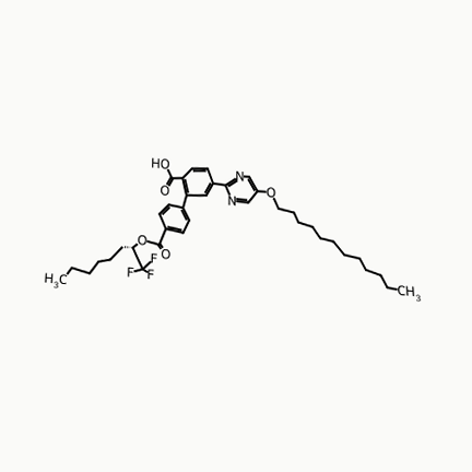 CCCCCCCCCCCCOc1cnc(-c2ccc(C(=O)O)c(-c3ccc(C(=O)O[C@@H](CCCCCC)C(F)(F)F)cc3)c2)nc1